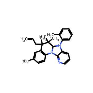 C=CCC1(C)c2cc(C(C)(C)C)ccc2N2c3ncccc3N(c3ccccc3C)C2C1(C)C